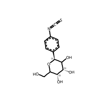 OCC1O[C@@H](c2ccc(N=C=S)cc2)C(O)[C@H](O)[C@@H]1O